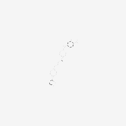 O=C(CCCN1CCN(c2nnc(C(F)(F)F)s2)CC1)N1CCC(Nc2ccc(N(O)O)c(C(F)(F)F)c2)CC1